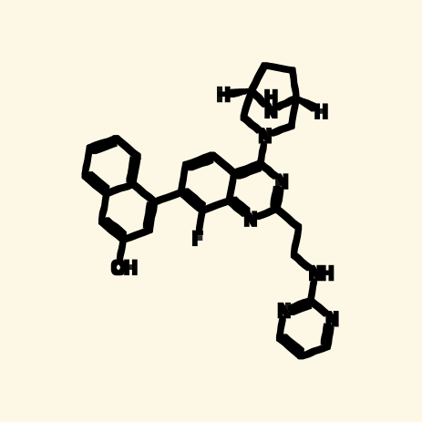 Oc1cc(-c2ccc3c(N4C[C@H]5CC[C@@H](C4)N5)nc(CCNc4ncccn4)nc3c2F)c2ccccc2c1